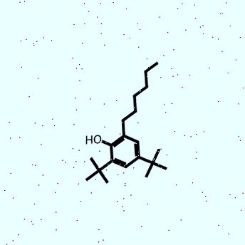 CCCCCCc1cc(C(C)(C)C)cc(C(C)(C)C)c1O